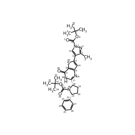 Cc1nn(C(=O)OC(C)(C)C)cc1-c1cc2nc([C@@H]3CC[C@H](c4ccccc4)N3C(=O)OC(C)(C)C)[nH]c(=O)c2s1